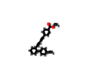 COC(=O)c1ccc(C#CC#Cc2ccccc2-c2ccc(C)cc2)cc1